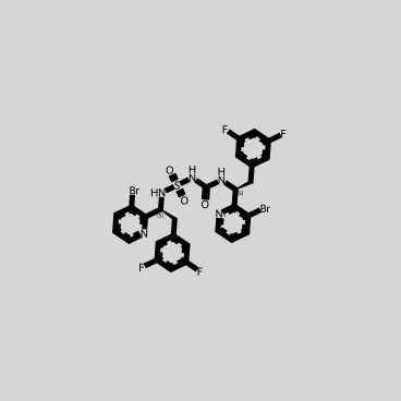 O=C(N[C@@H](Cc1cc(F)cc(F)c1)c1ncccc1Br)NS(=O)(=O)N[C@@H](Cc1cc(F)cc(F)c1)c1ncccc1Br